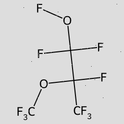 FOC(F)(F)C(F)(OC(F)(F)F)C(F)(F)F